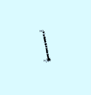 CC(F)(CCCCCOCCOCCOCCOCCOCCOCCOCCOCCO)C(F)(F)F